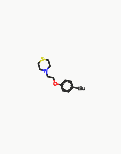 CC(C)(C)c1ccc(OCCN2CCSCC2)cc1